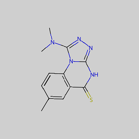 Cc1ccc2c(c1)c(=S)[nH]c1nnc(N(C)C)n12